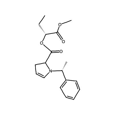 CC[C@@H](OC(=O)C1CC=CN1[C@H](C)c1ccccc1)C(=O)OC